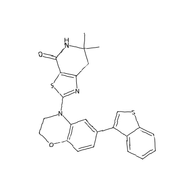 CC1(C)Cc2nc(N3CCOc4ccc(-c5csc6ccccc56)cc43)sc2C(=O)N1